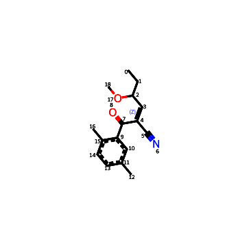 CCC(/C=C(/C#N)C(=O)c1cc(C)ccc1C)OC